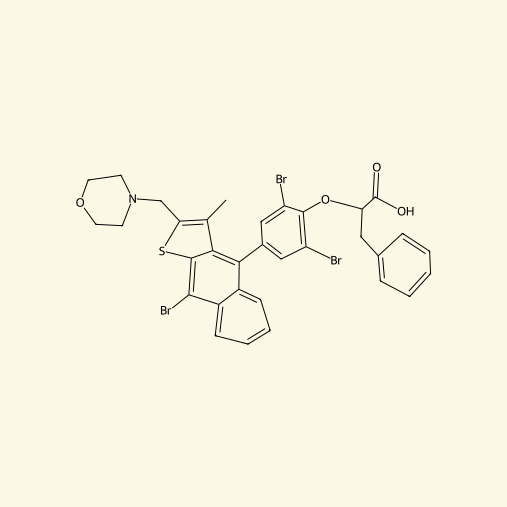 Cc1c(CN2CCOCC2)sc2c(Br)c3ccccc3c(-c3cc(Br)c(OC(Cc4ccccc4)C(=O)O)c(Br)c3)c12